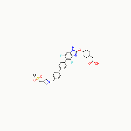 CS(=O)(=O)CC1CN(Cc2ccc(-c3ccc(-c4c(F)cc5[nH]c(O[C@H]6CC[C@H](CC(=O)O)CC6)nc5c4F)cc3)cc2)C1